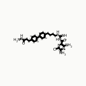 N=C(NCCCCc1ccc(-c2ccc(CCC(=O)NN)cc2)cc1)NC(=O)c1nc(Cl)c(N)nc1N